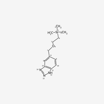 C[Si](C)(C)CCOCc1ccc2[nH]nnc2c1